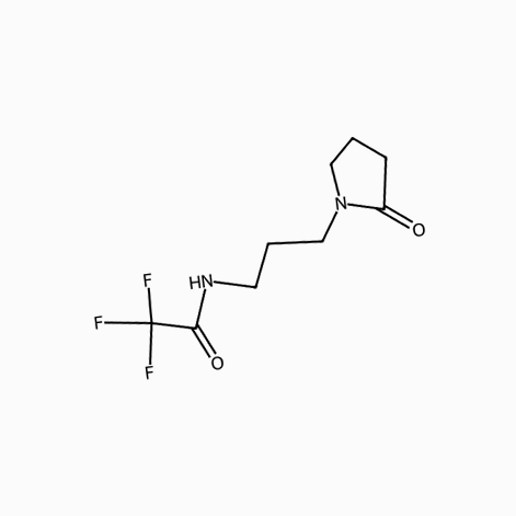 O=C1CCCN1CCCNC(=O)C(F)(F)F